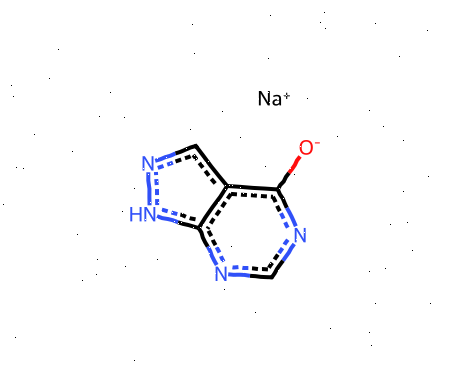 [Na+].[O-]c1ncnc2[nH]ncc12